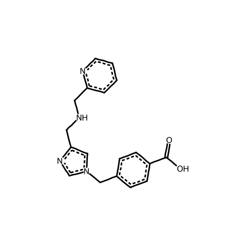 O=C(O)c1ccc(Cn2cnc(CNCc3ccccn3)c2)cc1